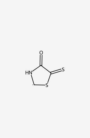 O=C1N[CH]SC1=S